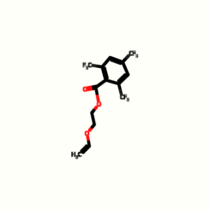 C=COCCOC(=O)c1c(C(F)(F)F)cc(C(F)(F)F)cc1C(F)(F)F